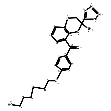 NC1(c2nnn[nH]2)COc2cccc(C(=O)c3ccc(OCCCCCCO)cc3)c2O1